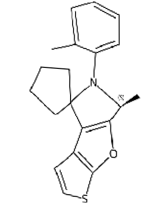 Cc1ccccc1N1[C@@H](C)c2oc3sccc3c2C12CCCC2